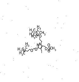 CC(C)(C)[Si](C)(C)OCCn1nc(OCOCC[Si](C)(C)C)c(I)c1COS(C)(=O)=O